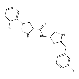 N#Cc1ccccc1C1CC(C(=O)NC2CNN(Cc3cccc(F)c3)C2)NO1